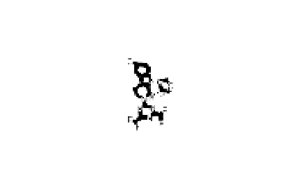 FC(F)c1nc(C(F)F)nc(N2CCc3c([nH]c4ccc(Cl)cc34)[C@@H]2C[C@H]2COCO2)n1